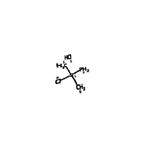 C[Si](C)(P)Cl.Cl